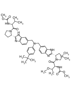 COC(=O)NC(C(=O)N1CCC[C@H]1c1nc2ccc(CN(Cc3ccc4nc([C@@H]5C[Si](C)(C)CN5C(=O)[C@@H](NC(=O)OC)C(C)OC)[nH]c4c3)c3ccc(C(C)(C)C)cc3)cc2[nH]1)C(C)C